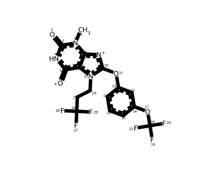 Cn1c(=O)[nH]c(=O)c2c1nc(Oc1cccc(OC(F)(F)F)c1)n2CCC(F)(F)F